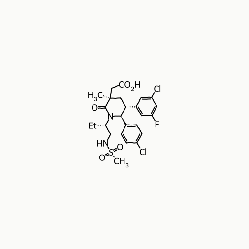 CC[C@@H](CNS(C)(=O)=O)N1C(=O)[C@@](C)(CC(=O)O)C[C@H](c2cc(F)cc(Cl)c2)[C@H]1c1ccc(Cl)cc1